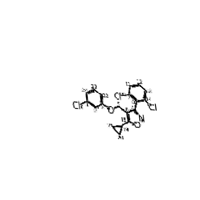 Clc1[c]c(OCc2c(-c3c(Cl)cccc3Cl)noc2C2CC2)ccc1